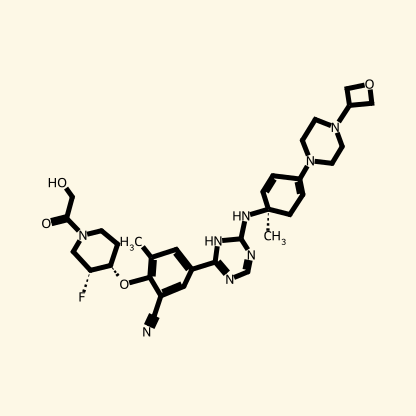 Cc1cc(C2=NC=NC(N[C@@]3(C)C=CC(N4CCN(C5COC5)CC4)=CC3)N2)cc(C#N)c1O[C@H]1CCN(C(=O)CO)C[C@H]1F